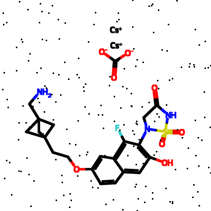 NCC12CC(CCOc3ccc4cc(O)c(N5CC(=O)NS5(=O)=O)c(F)c4c3)(C1)C2.O=C([O-])[O-].[Cs+].[Cs+]